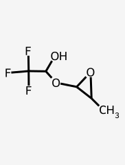 CC1OC1OC(O)C(F)(F)F